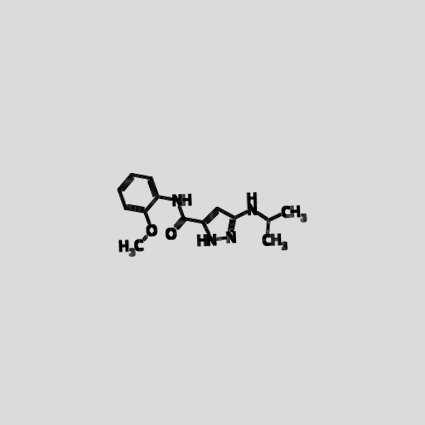 COc1ccccc1NC(=O)c1cc(NC(C)C)n[nH]1